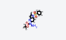 Cc1cc2nc(N(N)C(=O)OC(C)(C)C)ccc2n1S(=O)(=O)c1ccccc1